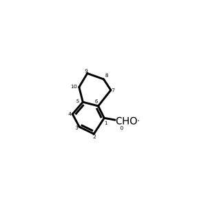 O=[C]c1cccc2c1CCCC2